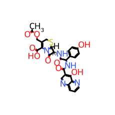 CC(=O)OCC1=C(C(=O)O)N2C(=O)[C@@H](NC(=O)C(NC(=O)c3cnc4cccnc4c3O)c3ccc(O)cc3)[C@H]2SC1